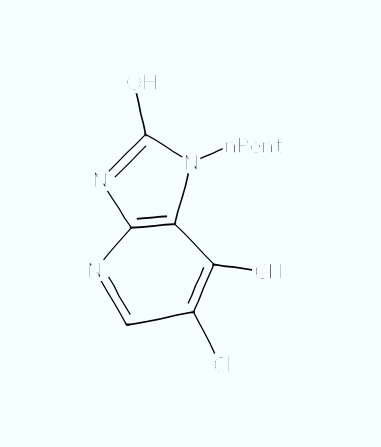 CCCCCn1c(O)nc2ncc(Cl)c(C)c21